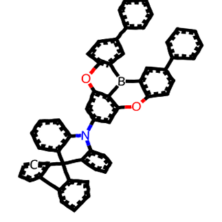 c1ccc(-c2ccc3c(c2)B2c4cc(-c5ccccc5)ccc4Oc4cc(N5c6ccccc6C6(c7ccccc7-c7ccccc76)c6ccccc65)cc(c42)O3)cc1